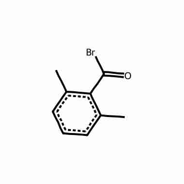 Cc1cccc(C)c1C(=O)Br